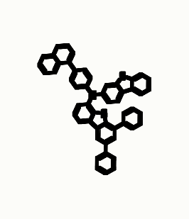 c1ccc(-c2cc(-c3ccccc3)c3sc4c(N(c5ccc(-c6cccc7ccccc67)cc5)c5ccc6c(c5)sc5ccccc56)cccc4c3c2)cc1